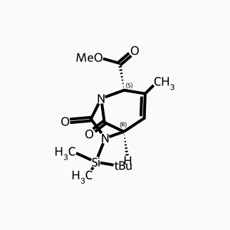 COC(=O)[C@@H]1C(C)=C[C@@H]2C(=O)N1C(=O)N2[Si](C)(C)C(C)(C)C